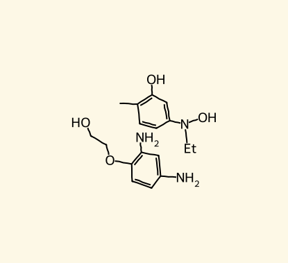 CCN(O)c1ccc(C)c(O)c1.Nc1ccc(OCCO)c(N)c1